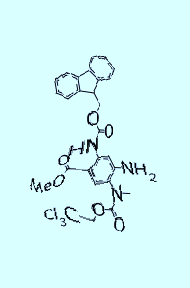 COC(=O)c1cc(N(C)C(=O)OCC(Cl)(Cl)Cl)c(N)cc1NC(=O)OCC1c2ccccc2-c2ccccc21